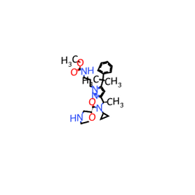 COC(=O)NCCCn1nc([C@@H](C)N(C(=O)[C@H]2CNCCO2)C2CC2)cc1C(C)(C)c1ccccc1